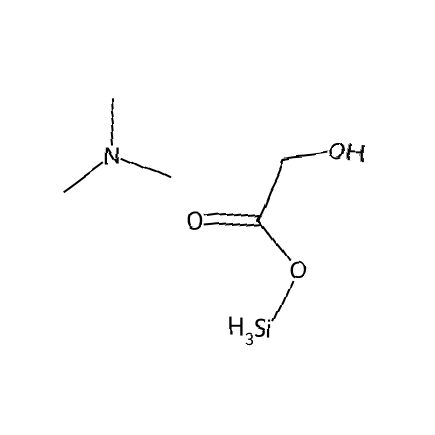 CN(C)C.O=C(CO)O[SiH3]